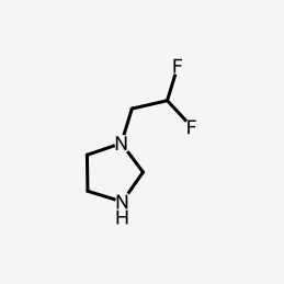 FC(F)CN1CCNC1